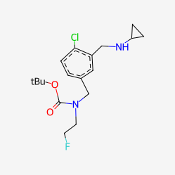 CC(C)(C)OC(=O)N(CCF)Cc1ccc(Cl)c(CNC2CC2)c1